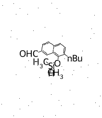 CCCCc1ccc2ccc(C=O)cc2c1O[SiH](C)C